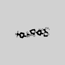 CC(C)C1COCCN1c1ccc(N2CCC[C@@H](NC(=O)Nc3ccc(C(F)(F)F)cc3)C2=O)cc1